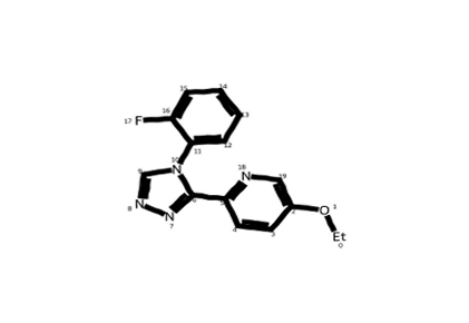 CCOc1ccc(-c2nncn2-c2ccccc2F)nc1